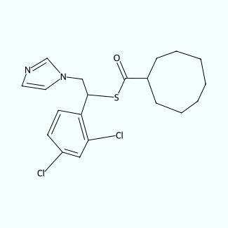 O=C(SC(Cn1ccnc1)c1ccc(Cl)cc1Cl)C1CCCCCCC1